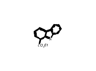 CCOC(=O)C1C=CC=C2C1=Nc1ccccc12